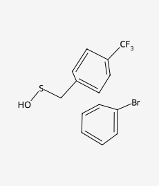 Brc1ccccc1.OSCc1ccc(C(F)(F)F)cc1